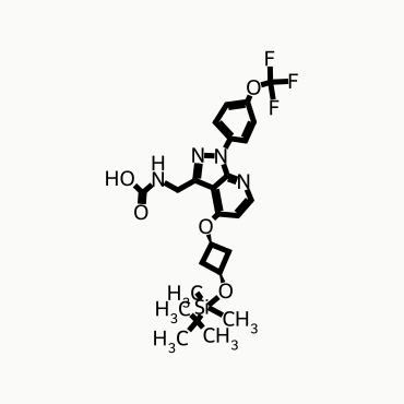 CC(C)(C)[Si](C)(C)O[C@H]1C[C@@H](Oc2ccnc3c2c(CNC(=O)O)nn3-c2ccc(OC(F)(F)F)cc2)C1